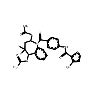 CC(=O)OC1CC(F)(F)C(OC(C)=O)c2ccccc2N1C(=O)c1ccc(NC(=O)c2sccc2C)cc1